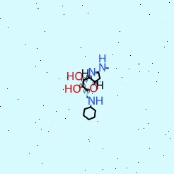 CNC1=N[C@@H]2[C@@H](O)[C@H](O)[C@@H](CNC3CCCCC3)O[C@@H]2C1